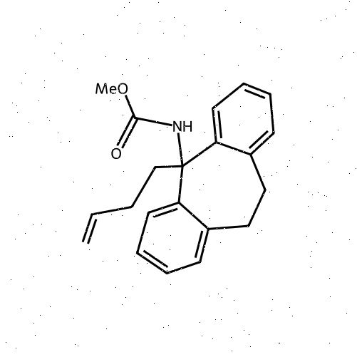 C=CCCC1(NC(=O)OC)c2ccccc2CCc2ccccc21